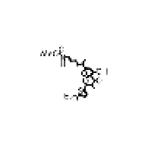 CCOc1ccc(C[C@H](C)C(=O)c2c(O)cc(C(C)CC/C=C/NC(=O)OC)oc2=O)s1